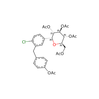 CC(=O)OC[C@H]1O[C@H](c2ccc(Cl)c(Cc3ccc(OC(C)=O)cc3)c2)[C@H](OC(C)=O)[C@@H](OC(C)=O)[C@@H]1OC(C)=O